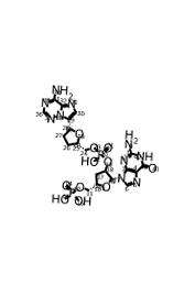 Nc1nc2c(ncn2[C@@H]2O[C@H](COP(=O)(O)O)CC2OP(=O)(O)OC[C@@H]2CC[C@H](c3cnc4c(N)ncnn34)O2)c(=O)[nH]1